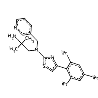 CC(C)c1cc(C(C)C)c(-c2csc(N(Cc3cccnc3)CC(C)(C)N)n2)c(C(C)C)c1